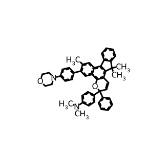 Cc1cc2c3c(c4c(c2cc1-c1ccc(N2CCOCC2)cc1)OC(c1ccccc1)(c1ccc(N(C)C)cc1)C=C4)C(C)(C)c1ccccc1-3